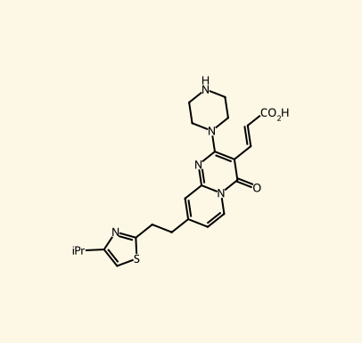 CC(C)c1csc(CCc2ccn3c(=O)c(/C=C/C(=O)O)c(N4CCNCC4)nc3c2)n1